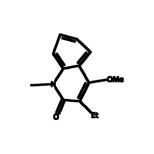 CCc1c(OC)c2ccccc2n(C)c1=O